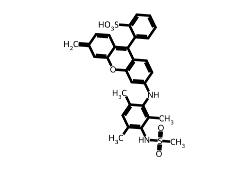 C=c1ccc2c(c1)Oc1cc(Nc3c(C)cc(C)c(NS(C)(=O)=O)c3C)ccc1C=2c1ccccc1S(=O)(=O)O